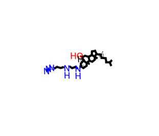 CC(C)CCC[C@@H](C)C1CCC2C3CC(O)[C@H]4C[C@H](NCCCNCCCCN=[N+]=[N-])CCC4(C)C3CCC21C